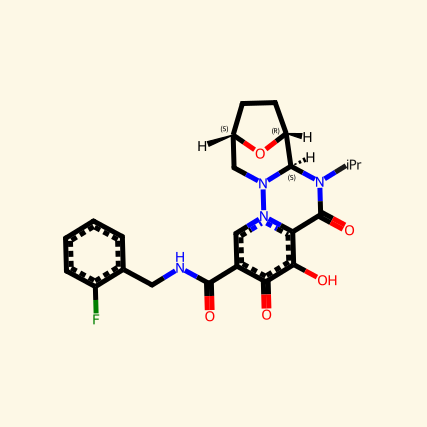 CC(C)N1C(=O)c2c(O)c(=O)c(C(=O)NCc3ccccc3F)cn2N2C[C@@H]3CC[C@@H](O3)[C@@H]12